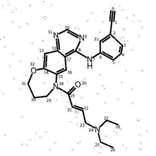 C#Cc1cccc(Nc2ncnc3cc4c(cc23)N(C(=O)/C=C/CN(CC)CC)CCCO4)c1